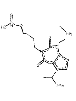 CCCC.COC(C)n1cnc2c1c(=O)n(CCCO[PH](=O)O)c(=O)n2C